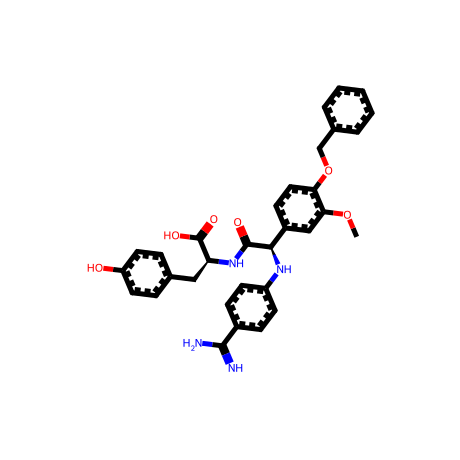 COc1cc([C@@H](Nc2ccc(C(=N)N)cc2)C(=O)N[C@@H](Cc2ccc(O)cc2)C(=O)O)ccc1OCc1ccccc1